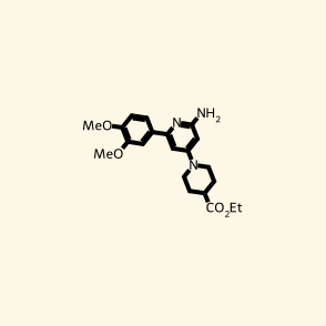 CCOC(=O)C1CCN(c2cc(N)nc(-c3ccc(OC)c(OC)c3)c2)CC1